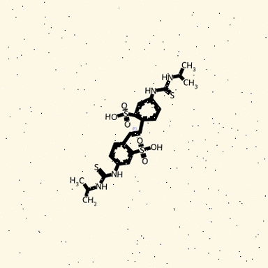 CC(C)NC(=S)Nc1ccc(/C=C/c2ccc(NC(=S)NC(C)C)cc2S(=O)(=O)O)c(S(=O)(=O)O)c1